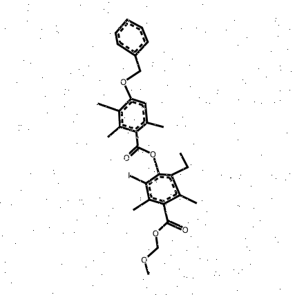 CCc1c(C)c(C(=O)OCOC)c(C)c(I)c1OC(=O)c1c(C)cc(OCc2ccccc2)c(C)c1C